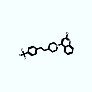 [O]c1cc(N2CCC(CCc3ccc(C(F)(F)F)cc3)CC2)c2ccccc2n1